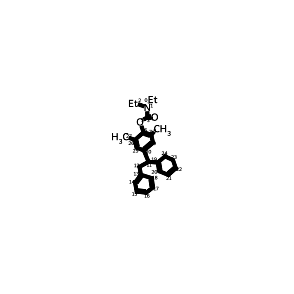 CCN(CC)C(=O)Oc1c(C)cc(C(Cc2ccccc2)C2=CC=CCC2)cc1C